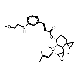 CO[C@@H]1[C@H](OC(=O)/C=C/c2cccc(NCCO)c2)CC[C@]2(CO2)[C@H]1[C@@]1(C)O[C@@H]1CC=C(C)C